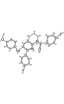 COc1ccc([Se]c2cc3c(nc2-c2ccc(F)cc2)N(C(=O)c2ccc(F)cc2)CCC3)cc1